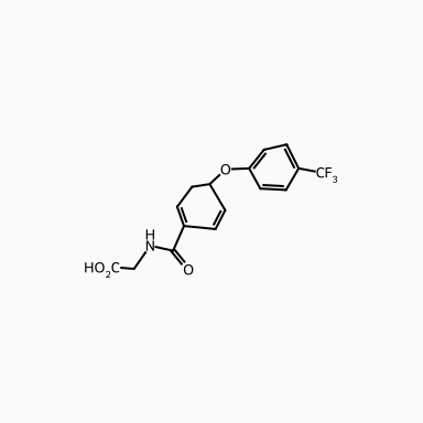 O=C(O)CNC(=O)C1=CCC(Oc2ccc(C(F)(F)F)cc2)C=C1